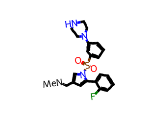 CNCc1cc(-c2ccccc2F)n(S(=O)(=O)c2cccc(N3CCNCC3)c2)c1